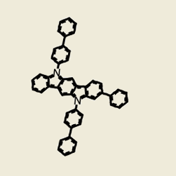 c1ccc(-c2ccc(-n3c4ccccc4c4cc5c(cc43)c3ccc(-c4ccccc4)cc3n5-c3ccc(-c4ccccc4)cc3)cc2)cc1